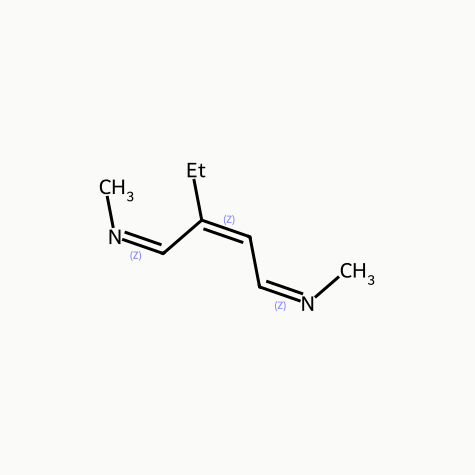 CCC(/C=N\C)=C/C=N\C